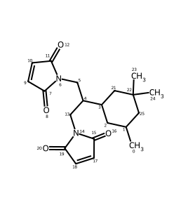 CC1CC(C(CN2C(=O)C=CC2=O)CN2C(=O)C=CC2=O)CC(C)(C)C1